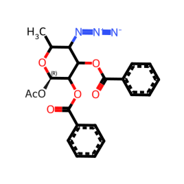 CC(=O)O[C@H]1OC(C)C(N=[N+]=[N-])C(OC(=O)c2ccccc2)C1OC(=O)c1ccccc1